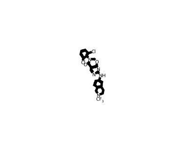 O=C1c2cnc(Nc3ccc4c(c3)CCN(C(F)(F)F)C4)nc2OCN1c1c(Cl)cccc1Cl